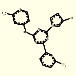 Oc1ccn(-c2nc(Nc3ccnc(C(F)(F)F)c3)nc(-c3cccc(C(F)(F)F)n3)n2)c1